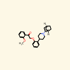 COc1ccccc1C(=O)COc1ccccc1C1CCN([C@H]2C[C@H]3CC[C@H]2C3)CC1